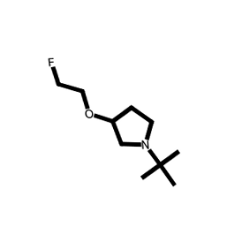 CC(C)(C)N1CCC(OCCF)C1